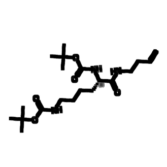 C=CCCNC(=O)[C@H](CCCCNC(=O)OC(C)(C)C)NC(=O)OC(C)(C)C